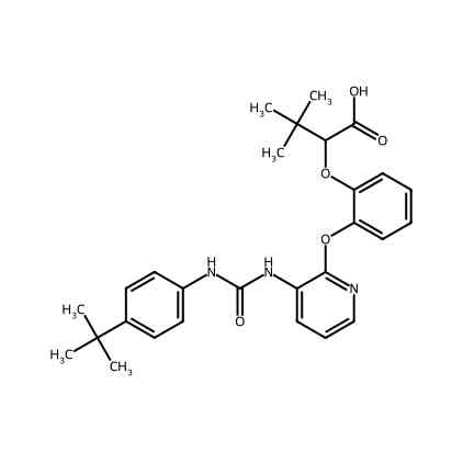 CC(C)(C)c1ccc(NC(=O)Nc2cccnc2Oc2ccccc2OC(C(=O)O)C(C)(C)C)cc1